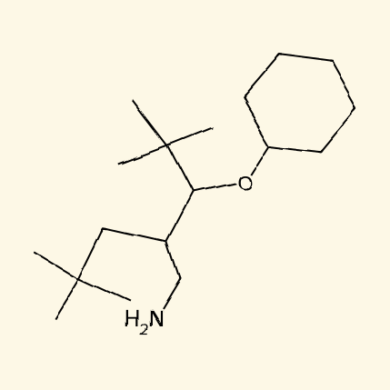 CC(C)(C)CC(CN)C(OC1CCCCC1)C(C)(C)C